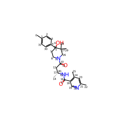 Cc1ccc([C@@]2(O)CCN(C(=O)C[C@@H](C)NC(=O)c3cnc(C)cc3C)CC2(C)C)cc1